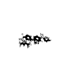 Cc1ccc(Nc2ccc3c(c2)ncn3-c2ccc([C@@H](C)O)c(-n3nc(C(F)F)cc3C(F)F)n2)nn1